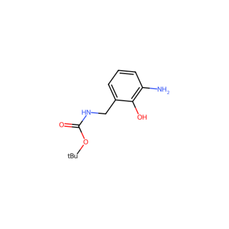 CC(C)(C)OC(=O)NCc1cccc(N)c1O